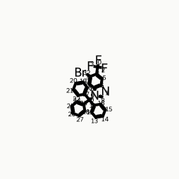 FC(F)(F)c1cc2ncn(C(c3ccccc3)(c3ccccc3)c3ccccc3)c2cc1Br